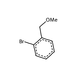 [CH2]OCc1ccccc1Br